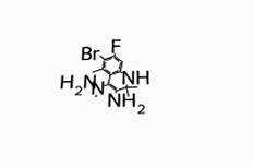 Cc1c(Br)c(F)cc2c1C(N(C)N)=C(N)C(C)(C)N2